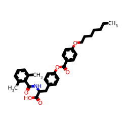 CCCCCCCOc1ccc(C(=O)Oc2ccc(CC(NC(=O)c3c(C)cccc3C)C(=O)O)cc2)cc1